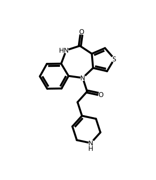 O=C1Nc2ccccc2N(C(=O)CC2=CCNCC2)c2cscc21